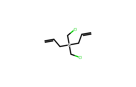 C=CC[Si](CCl)(CCl)CC=C